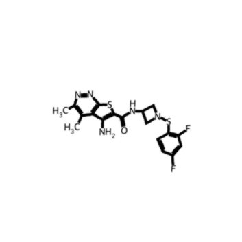 Cc1nnc2sc(C(=O)NC3CN(Sc4ccc(F)cc4F)C3)c(N)c2c1C